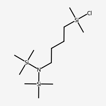 C[Si](C)(Cl)CCCCN([Si](C)(C)C)[Si](C)(C)C